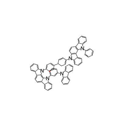 C1=CC(c2ccc(-n3c4ccccc4c4ccc5c6ccccc6n(-c6cccc(-n7c8ccccc8c8ccccc87)c6)c5c43)cc2)CC=C1n1c2ccccc2c2c1ccc1c3ccccc3n(-c3ccccc3)c12